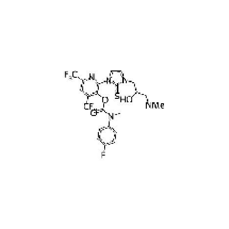 CNCC(O)Cn1ccn(-c2nc(C(F)(F)F)cc(C(F)(F)F)c2OC(=O)N(C)c2ccc(F)cc2)c1=S